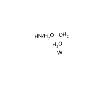 O.O.O.[NaH].[W]